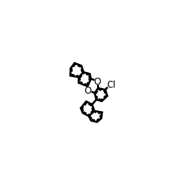 Clc1ccc(-c2cccc3ccccc23)c2c1Oc1cc3ccccc3cc1O2